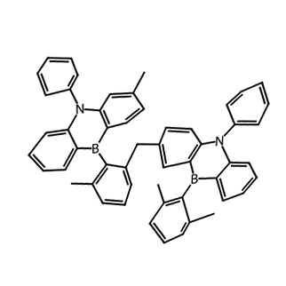 Cc1ccc2c(c1)N(c1ccccc1)c1ccccc1B2c1c(C)cccc1Cc1ccc2c(c1)B(c1c(C)cccc1C)c1ccccc1N2c1ccccc1